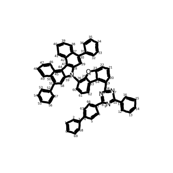 c1ccc(-c2ccc(-c3nc(-c4ccccc4)nc(-c4cccc5oc6c(-n7c8cc(-c9ccccc9)c9ccccc9c8c8c9ccccc9c(-c9ccccc9)cc87)cccc6c45)n3)cc2)cc1